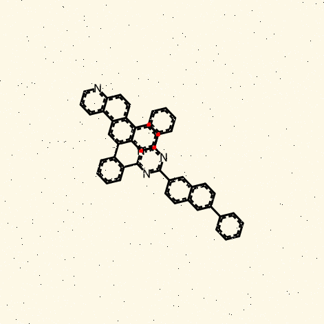 c1ccc(-c2ccc3cc(-c4nc(-c5ccccc5)nc(-c5ccccc5-c5cc6c7cccnc7ccc6c6ccccc56)n4)ccc3c2)cc1